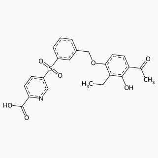 CCc1c(OCc2cccc(S(=O)(=O)c3ccc(C(=O)O)nc3)c2)ccc(C(C)=O)c1O